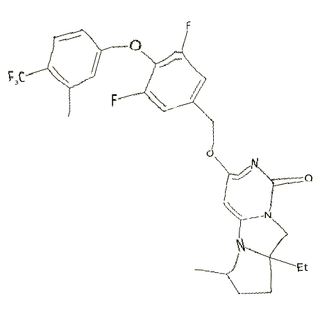 CCC12CCC(C)N1c1cc(OCc3cc(F)c(Oc4ccc(C(F)(F)F)c(C)c4)c(F)c3)nc(=O)n1C2